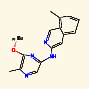 CC[C@@H](C)Oc1nc(Nc2cc3cccc(C)c3cn2)cnc1C